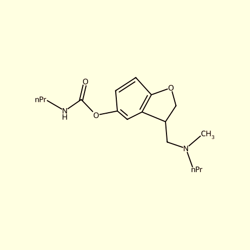 CCCNC(=O)Oc1ccc2c(c1)C(CN(C)CCC)CO2